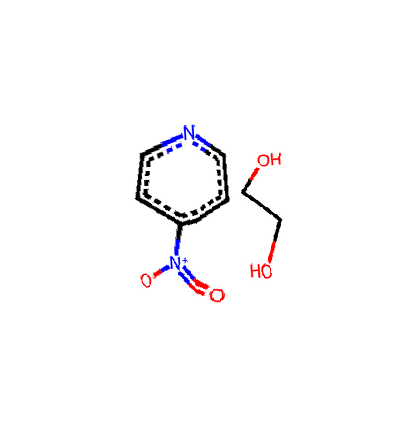 O=[N+]([O-])c1ccncc1.OCCO